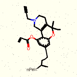 C#CCN1CCC2=C(C1)c1c(OC(=O)C=C)cc(CCC(C)CCCCC)cc1OC2(C)C